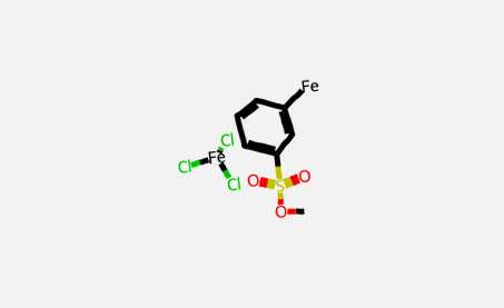 COS(=O)(=O)c1ccc[c]([Fe])c1.[Cl][Fe]([Cl])[Cl]